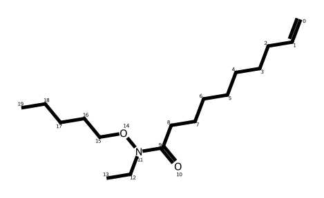 [CH]=CCCCCCCCC(=O)N(CC)OCCCCC